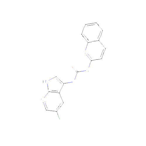 O=C(Nc1ccc2ccccc2n1)Nc1c[nH]c2ncc(F)cc12